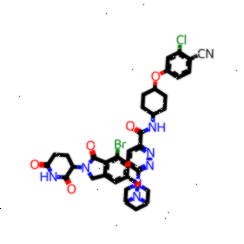 N#Cc1ccc(OC2CCC(NC(=O)c3ccc(N4CC5CC(C4)N5Cc4cc(Br)c5c(c4)CN(C4CCC(=O)NC4=O)C5=O)nn3)CC2)cc1Cl